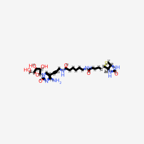 Nc1nc(=O)n([C@@H]2O[C@H](CO)C(O)C2O)cc1C#CCNC(=O)CCCCCNC(=O)CCCC[C@@H]1SCC2NC(=O)N[C@@H]21